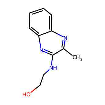 Cc1nc2ccccc2nc1NCCO